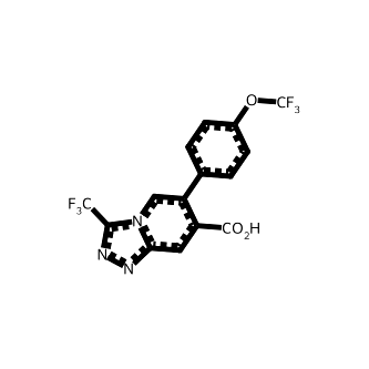 O=C(O)c1cc2nnc(C(F)(F)F)n2cc1-c1ccc(OC(F)(F)F)cc1